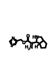 NN(C(=O)OCc1cscn1)C1NCC2CCC[C@@H]21